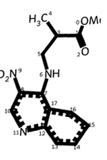 COC(=O)C(C)CNc1c([N+](=O)[O-])cnc2ccccc12